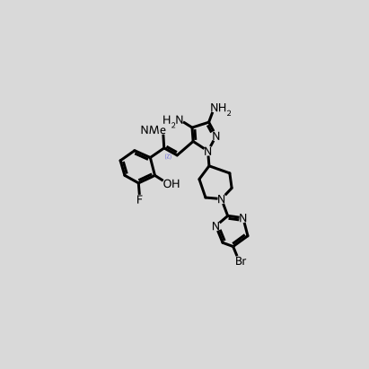 CN/C(=C\c1c(N)c(N)nn1C1CCN(c2ncc(Br)cn2)CC1)c1cccc(F)c1O